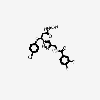 O=C(CC(Sc1ccc(Cl)cc1)n1cc(CNC(=O)c2ccc(F)c(F)c2)nn1)NO